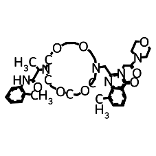 Cc1ccccc1NC(=O)C(C)N1CCOCCOCCN(Cc2nc3c(C)cccc3c(=O)n2CC(=O)N2CCOCC2)CCOCCOCC1